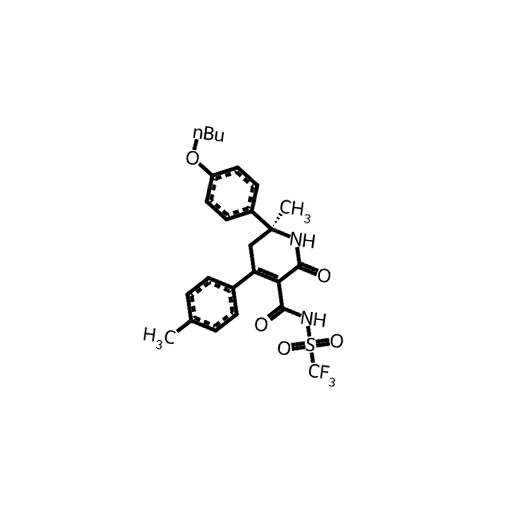 CCCCOc1ccc([C@]2(C)CC(c3ccc(C)cc3)=C(C(=O)NS(=O)(=O)C(F)(F)F)C(=O)N2)cc1